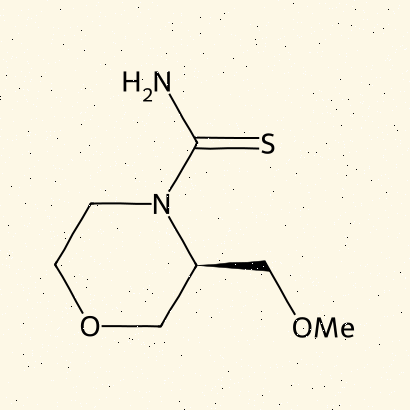 COC[C@H]1COCCN1C(N)=S